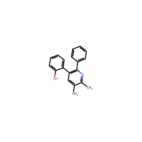 Cc1cc(-c2ccccc2O)c(-c2ccccc2)nc1C